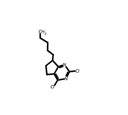 CCCCCC1CCc2c(Cl)nc(Cl)nc21